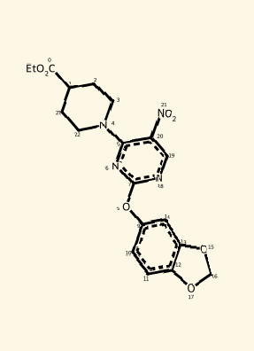 CCOC(=O)C1CCN(c2nc(Oc3ccc4c(c3)OCO4)ncc2[N+](=O)[O-])CC1